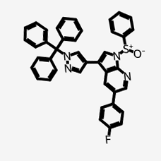 [O-][S+](c1ccccc1)n1cc(-c2cnn(C(c3ccccc3)(c3ccccc3)c3ccccc3)c2)c2cc(-c3ccc(F)cc3)cnc21